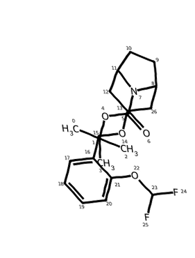 CC(C)(C)OC(=O)N1C2CCC1CC(OCc1ccccc1OC(F)F)C2